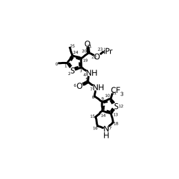 Cc1sc(NC(=O)NCc2c(C(F)(F)F)sc3c2CCNC3)c(C(=O)OC(C)C)c1C